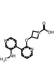 CNc1cnccc1-c1cccnc1OC1CN(C(=O)O)C1